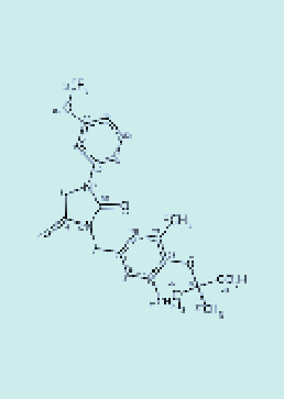 Cc1cc(CN2C(=O)CN(c3cccc(OC(F)(F)F)c3)C2=O)cc(C)c1OC(C)(C)C(=O)O